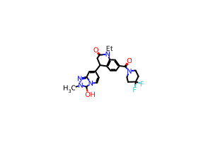 CCN1C(=O)CC(C2=CC3=NN(C)C(O)N3C=C2)c2ccc(C(=O)N3CCC(F)(F)CC3)cc21